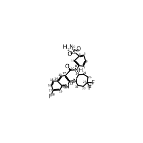 NS(=O)(=O)c1cccc(NC(=O)c2cc3ccc(F)cc3nc2N2CCCC(F)(F)CC2)c1